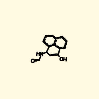 O=CNC1C=C(O)c2cccc3cccc1c23